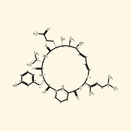 CC(=O)CC[C@H]1C(=O)N[C@@H](C(C)C)C(=O)N[C@@H](Cc2cccc(O)c2)C(=O)N2CCCC(N2)C(=O)O[C@H](/C(C)=C/CN(C)C)C/C=C/C=C/[C@H](O)[C@H](C)[C@H]1O